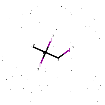 [CH2]C(I)(I)CI